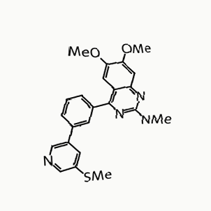 CNc1nc(-c2cccc(-c3cncc(SC)c3)c2)c2cc(OC)c(OC)cc2n1